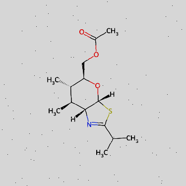 CC(=O)OC[C@H]1O[C@@H]2SC(C(C)C)=N[C@@H]2[C@@H](C)[C@@H]1C